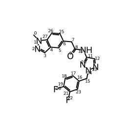 Cn1ncc2cc(CC(=O)Nc3cnn(Cc4ccc(F)c(F)c4)n3)ccc21